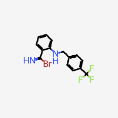 N=C(Br)c1ccccc1NCc1ccc(C(F)(F)F)cc1